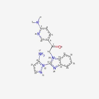 CN(C)c1ccc(C(=O)Cn2c(-n3nccc3N)nc3ccccc32)cn1